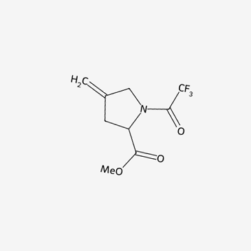 C=C1CC(C(=O)OC)N(C(=O)C(F)(F)F)C1